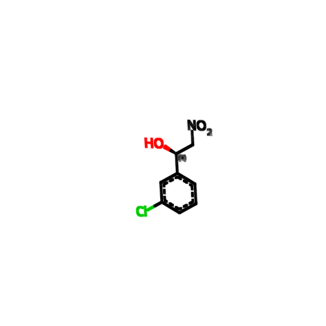 O=[N+]([O-])C[C@H](O)c1cccc(Cl)c1